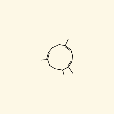 CC1=CCC=C(C)C(C)CCC(C)=CCC1